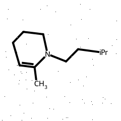 CC1=[C]CCCN1CCC(C)C